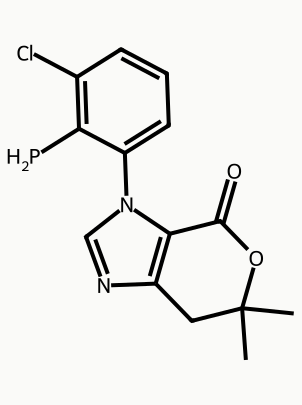 CC1(C)Cc2ncn(-c3cccc(Cl)c3P)c2C(=O)O1